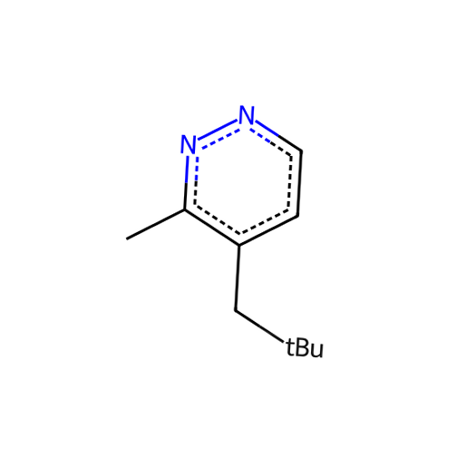 Cc1nnccc1CC(C)(C)C